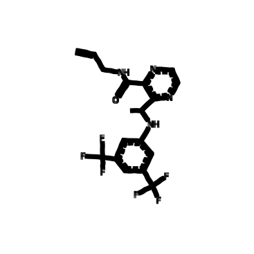 C=CCNC(=O)c1nccnc1C(C)Nc1cc(C(F)(F)F)cc(C(F)(F)F)c1